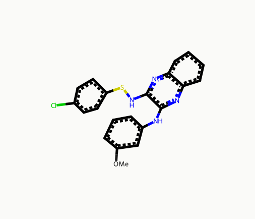 COc1cccc(Nc2nc3ccccc3nc2NSc2ccc(Cl)cc2)c1